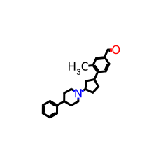 Cc1cc(C=O)ccc1C1CCC(N2CCC(c3ccccc3)CC2)C1